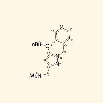 CCCCOc1cc(CNC)nn1Cc1ccccc1